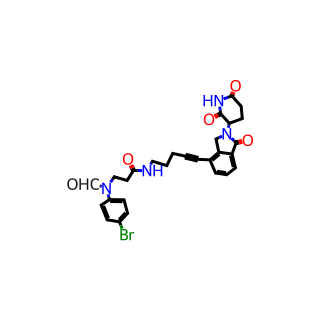 O=CN(CCC(=O)NCCCC#Cc1cccc2c1CN(C1CCC(=O)NC1=O)C2=O)c1ccc(Br)cc1